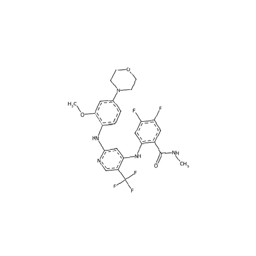 CNC(=O)c1cc(F)c(F)cc1Nc1cc(Nc2ccc(N3CCOCC3)cc2OC)ncc1C(F)(F)F